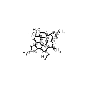 CCc1cc2c3sc(C)cc3c3cc(C)c4c(C)cc5c6sc(C)cc6c6cc(C)c1c1c6c5c4c3c21